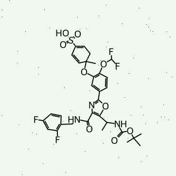 CC(NC(=O)OC(C)(C)C)c1oc(-c2ccc(OC(F)F)c(OC3(C)C=CC(S(=O)(=O)O)=CC3)c2)nc1C(=O)NCc1ccc(F)cc1F